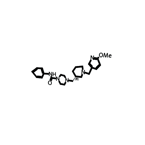 COc1ccc(CN2CCC[C@@H](CN3CCN(C(=O)Nc4ccccc4)CC3)C2)cn1